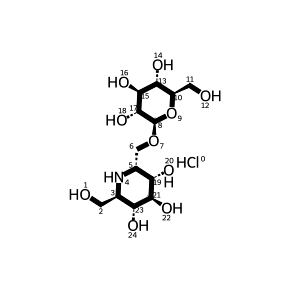 Cl.OC[C@H]1N[C@H](CO[C@@H]2O[C@H](CO)[C@@H](O)[C@H](O)[C@H]2O)[C@H](O)[C@@H](O)[C@@H]1O